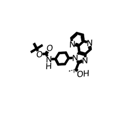 C[C@@H](O)c1nc2cnc3cccnc3c2n1C1CCC(NC(=O)OC(C)(C)C)CC1